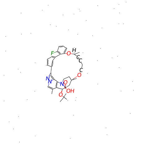 Cc1cn2nc3cc2c(c1[C@H](OC(C)(C)C)C(=O)O)N1CCC(C)(CC1)OCCCC[C@H](C)Oc1cccc(F)c1-c1cccc-3c1